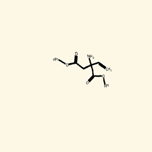 C=CC(N)(CC(=O)OCCC)C(=O)OCCC